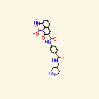 CNc1cccc2cc(C(=O)Nc3ccc(C(=O)NCC4CCNCC4)cc3)c(=O)n(C(=O)O)c12